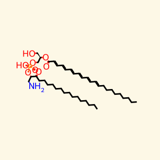 CCCCCCCCCC=CC=CC=CC=CC=CC=CC(=O)O[C@H](CO)COP(=O)(O)OC(CN)C(=O)CCCCCCCCCCCCCCC